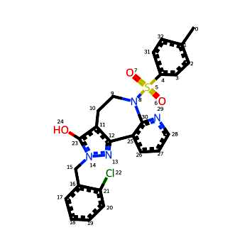 Cc1ccc(S(=O)(=O)N2CCc3c(nn(Cc4ccccc4Cl)c3O)-c3cccnc32)cc1